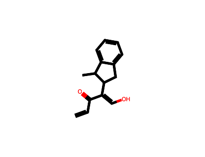 C=CC(=O)/C(=C/O)C1Cc2ccccc2C1C